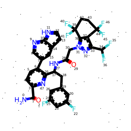 NC(=O)c1ccc(-c2cnc3[nH]ccc3c2)c(C(Cc2cc(F)cc(F)c2)NC(=O)Cn2nc(C(F)F)c3c2C(F)(F)CCC3(F)F)n1